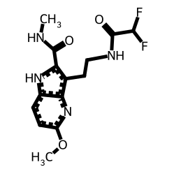 CNC(=O)c1[nH]c2ccc(OC)nc2c1CCNC(=O)C(F)F